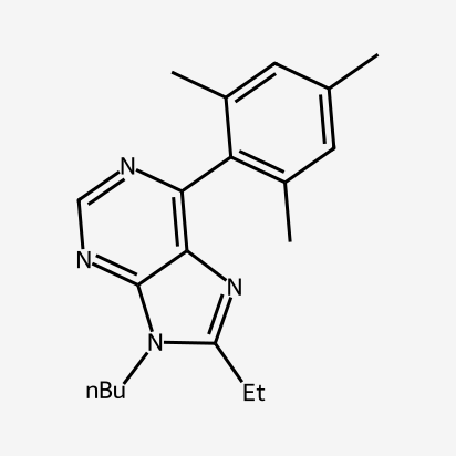 CCCCn1c(CC)nc2c(-c3c(C)cc(C)cc3C)ncnc21